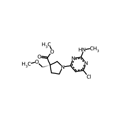 CNc1nc(Cl)cc(N2CC[C@@](COC)(C(=O)OC)C2)n1